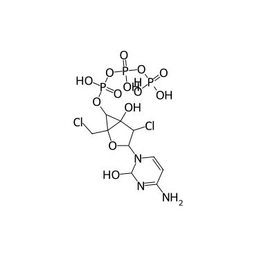 NC1=NC(O)N(C2OC3(CCl)C(OP(=O)(O)OP(=O)(O)OP(=O)(O)O)C3(O)C2Cl)C=C1